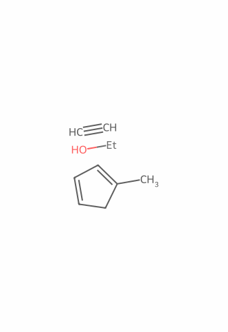 C#C.CC1=CC=CC1.CCO